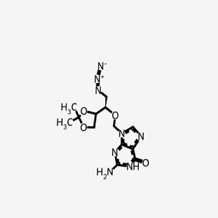 CC1(C)OCC([C@@H](CN=[N+]=[N-])OCn2cnc3c(=O)[nH]c(N)nc32)O1